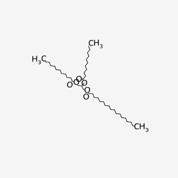 CCCCCCCCCCCCCCCCCC(=O)OCC(COC(=O)CCCCCCCCCCC)OC(=O)CCCCCCCCCCC